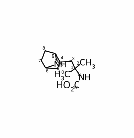 CC(C)(C[C@H]1CC2CCC1N2)NC(=O)O